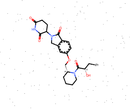 CC(C)C[C@H](O)C(=O)N1CCCC[C@@H]1COc1ccc2c(c1)CN(C1CCC(=O)NC1=O)C2=O